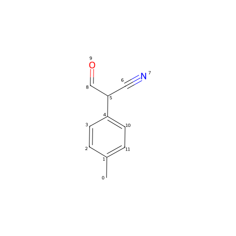 Cc1ccc(C(C#N)C=O)cc1